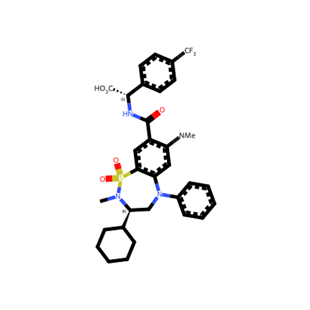 CNc1cc2c(cc1C(=O)N[C@H](C(=O)O)c1ccc(C(F)(F)F)cc1)S(=O)(=O)N(C)[C@H](C1CCCCC1)CN2c1ccccc1